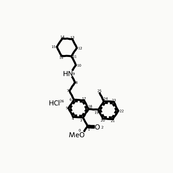 COC(=O)c1ccc(CCNCC2CCCCC2)cc1-c1ccccc1C.Cl